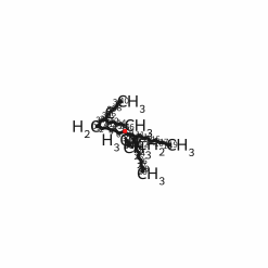 C=C(CCCCCCCCC(CCCCCCCCC)N(C(=C)CCCCCCC)N(C)C)CC(CCCCCC)CCCCCC